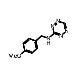 COc1ccc(CNc2nncnn2)cc1